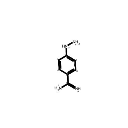 N=C(N)c1ccc(NN)cc1